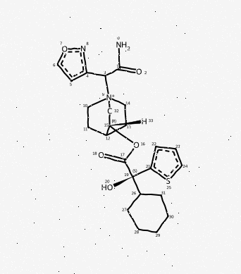 NC(=O)C(c1ccon1)[N+]12CCC(CC1)[C@@H](OC(=O)[C@](O)(c1cccs1)C1CCCCC1)C2